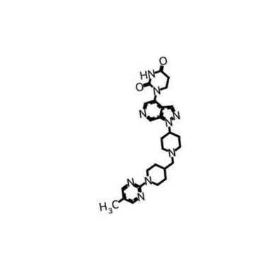 Cc1cnc(N2CCC(CN3CCC(n4ncc5c(N6CCC(=O)NC6=O)cncc54)CC3)CC2)nc1